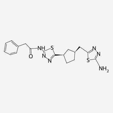 Nc1nnc(C[C@H]2CC[C@@H](c3nnc(NC(=O)Cc4ccccc4)s3)C2)s1